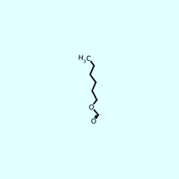 CCCCCCO[C]=O